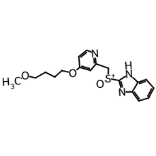 COCCCCOc1ccnc(C[S+]([O-])c2nc3ccccc3[nH]2)c1